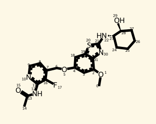 COc1cc(OCc2ccnc(NC(C)=O)c2F)cc2sc(N[C@H]3CCCC[C@@H]3O)nc12